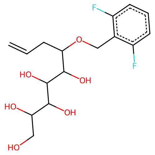 C=CCC(OCc1c(F)cccc1F)C(O)C(O)C(O)C(O)CO